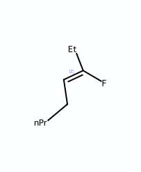 CCCC/C=C(\F)CC